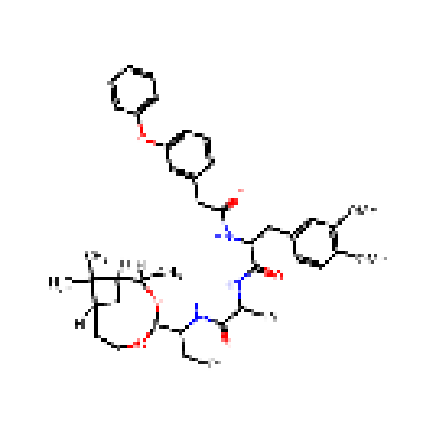 COc1ccc(CC(NC(=O)Cc2cccc(Oc3ccccc3)c2)C(=O)NC(C(=O)N[C@@H](CC(C)C)B2OCC[C@@H]3C[C@H]([C@H](C)O2)C3(C)C)C(C)C)cc1OC